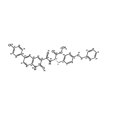 COC(=O)[C@H](Cc1ccc(OCc2ccccc2)cc1)NC(=O)c1cc2cc(-c3ccc(Cl)cc3)ccc2[nH]c1=O